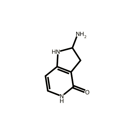 NC1Cc2c(cc[nH]c2=O)N1